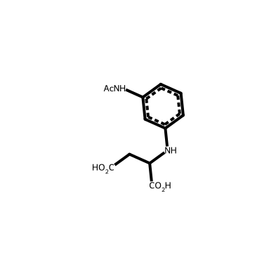 CC(=O)Nc1cccc(NC(CC(=O)O)C(=O)O)c1